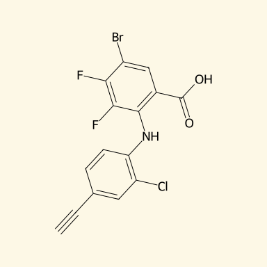 C#Cc1ccc(Nc2c(C(=O)O)cc(Br)c(F)c2F)c(Cl)c1